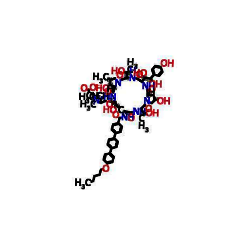 CC(=O)[O-].CCCCCOc1ccc(-c2ccc(-c3ccc(C(=O)N[C@H]4C[C@@H](O)[C@@H](OCC[N+](C)(C)C)NC(=O)[C@@H]5[C@@H](O)[C@@H](C)CN5C(=O)[C@H]([C@@H](C)O)NC(=O)C([C@H](O)[C@@H](O)c5ccc(O)cc5)NC(=O)[C@@H]5C[C@@H](O)CN5C(=O)C([C@@H](C)O)NC4=O)cc3)cc2)cc1